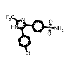 CCc1ccc(-c2[nH]c(C(F)(F)F)nc2-c2ccc(S(N)(=O)=O)cc2)cc1